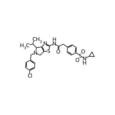 CC(C)C1c2nc(NC(=O)Cc3ccc(S(=O)(=O)NC4CC4)cc3)sc2CN1Cc1ccc(Cl)cc1